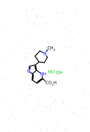 CN1CCC(c2cnc3ccc(C(=O)O)[nH]c2-3)CC1.Cl.Cl